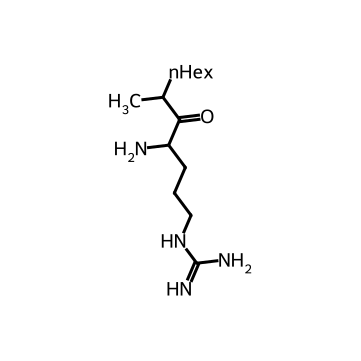 CCCCCCC(C)C(=O)C(N)CCCNC(=N)N